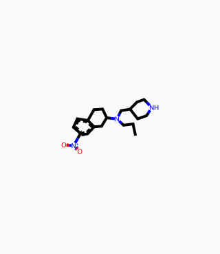 CCCN(CC1CCNCC1)C1CCc2ccc([N+](=O)[O-])cc2C1